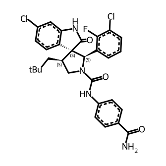 CC(C)(C)C[C@@H]1CN(C(=O)Nc2ccc(C(N)=O)cc2)[C@H](c2cccc(Cl)c2F)[C@]12C(=O)Nc1cc(Cl)ccc12